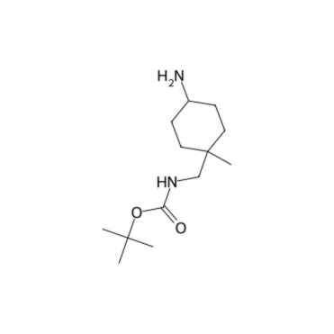 CC1(CNC(=O)OC(C)(C)C)CCC(N)CC1